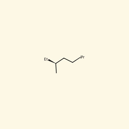 [CH2]C[C@H](C)CCC(C)C